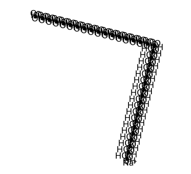 O=S(O)O.O=S(O)O.O=S(O)O.O=S(O)O.O=S(O)O.O=S(O)O.O=S(O)O.O=S(O)O.O=S(O)O.O=S(O)O.O=S(O)O.O=S(O)O.O=S(O)O.O=S(O)O.O=S(O)O.O=S(O)O.O=S(O)O.O=S(O)O.O=S(O)O.O=S(O)O.O=S(O)O.O=S(O)O.O=S(O)O.O=S(O)O.O=S(O)O.O=S(O)O.O=S(O)O.O=S(O)O.O=S(O)O.O=S(O)O.O=S(O)O.O=S(O)O.O=S(O)O.O=S(O)O.O=S(O)O.O=S([O-])O.[Na+]